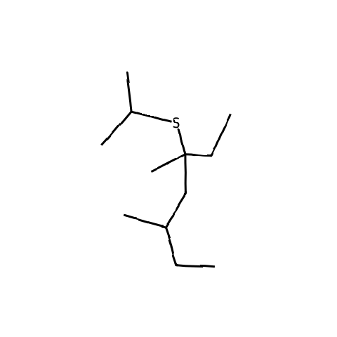 CCC(C)CC(C)(CC)SC(C)C